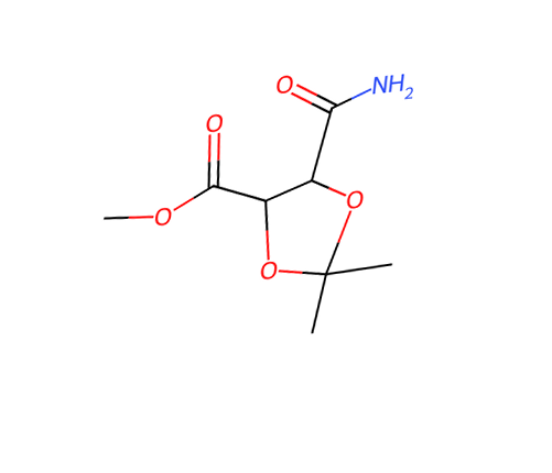 COC(=O)C1OC(C)(C)OC1C(N)=O